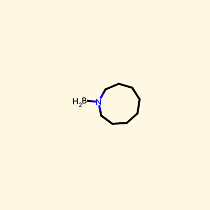 BN1CCCCCCCC1